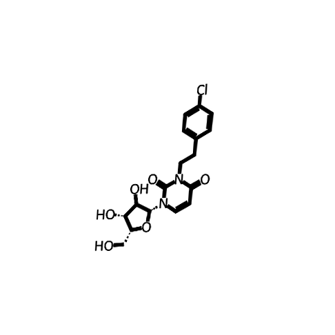 O=c1ccn([C@@H]2O[C@H](CO)[C@H](O)C2O)c(=O)n1CCc1ccc(Cl)cc1